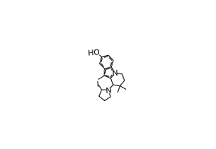 Cc1c2n(c3ccc(O)cc13)CCC(C)(C)C2N1CCCC1I